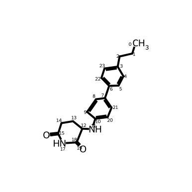 CCCc1ccc(-c2ccc(NC3CCC(=O)NC3=O)cc2)cc1